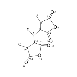 CC1C(=O)OC(=O)C1C(C)C1C(=O)OC(=O)C1C